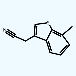 Cc1cccc2c(CC#N)csc12